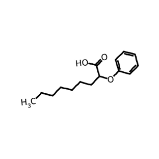 CCCCCCCC(Oc1ccccc1)C(=O)O